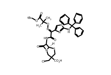 CC(C)(C)OC(=O)C(C)(C)ON=C(C(=O)NC1C(=O)N2CC(CCl)(C(=O)O)CS[C@H]12)c1csc(NC(c2ccccc2)(c2ccccc2)c2ccccc2)n1